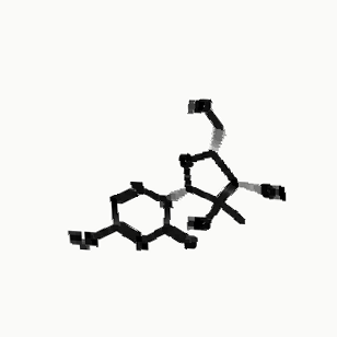 CC1(O)[C@@H](O)[C@@H](CO)O[C@H]1n1ncc(N)nc1=O